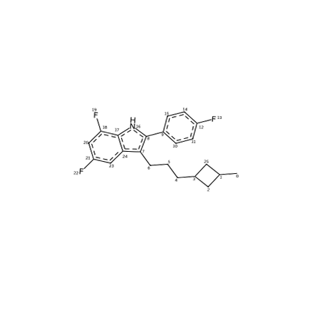 CC1CC(CCCc2c(-c3ccc(F)cc3)[nH]c3c(F)cc(F)cc23)C1